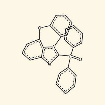 O=P(c1ccccc1)(c1ccccc1)c1nc2cccc3c2n1-c1ccccc1O3